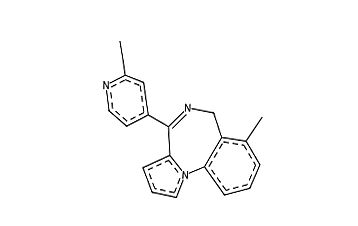 Cc1cc(C2=NCc3c(C)cccc3-n3cccc32)ccn1